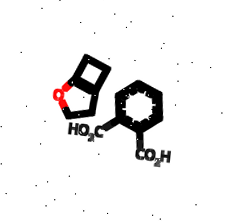 C1CC2=C(CC2)O1.O=C(O)c1ccccc1C(=O)O